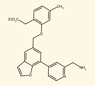 CCOC(=O)Cc1ccc(C)cc1OCc1cc(-c2ccnc(CN)c2)c2occc2c1